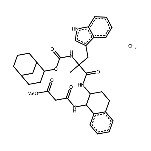 COC(=O)CC(=O)NC1c2ccccc2CCC1NC(=O)C(C)(Cc1c[nH]c2ccccc12)NC(=O)OC1CCC2CCCC1C2.[CH2]